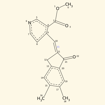 COC(=O)c1cnccc1/C=C1\Cc2cc(C)c(C)cc2C1=O